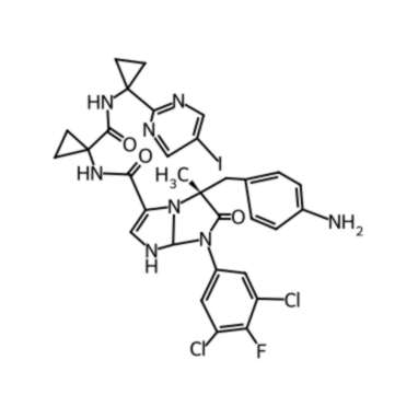 C[C@@]1(Cc2ccc(N)cc2)C(=O)N(c2cc(Cl)c(F)c(Cl)c2)C2NC=C(C(=O)NC3(C(=O)NC4(c5ncc(I)cn5)CC4)CC3)N21